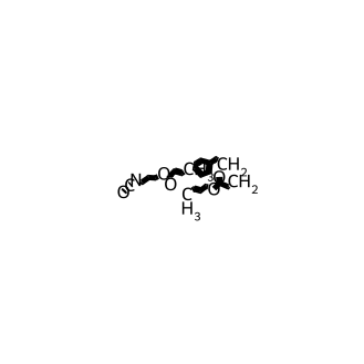 C=CC(=O)OCC=CC.C=Cc1ccccc1.CC=CC(=O)OCCCN=C=O